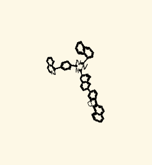 c1ccc2c(-c3nc(-c4ccc(-c5nccc6ccccc56)cc4)nc(-c4ccc5cc(-c6ccc7c(c6)oc6c8ccccc8ccc76)ccc5c4)n3)cccc2c1